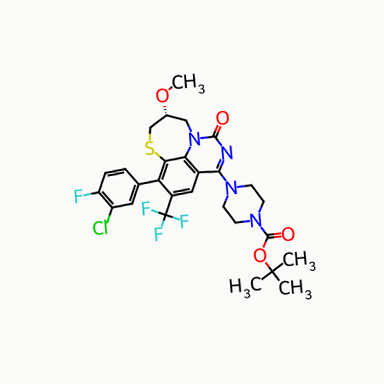 CO[C@H]1CSc2c(-c3ccc(F)c(Cl)c3)c(C(F)(F)F)cc3c(N4CCN(C(=O)OC(C)(C)C)CC4)nc(=O)n(c23)C1